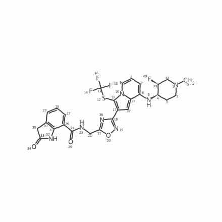 CN1CC[C@@H](Nc2cccn3c(SC(F)(F)F)c(-c4noc(CNC(=O)c5cccc6c5NC(=O)C6)n4)cc23)[C@@H](F)C1